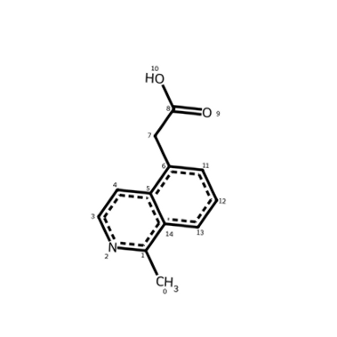 Cc1nccc2c(CC(=O)O)cccc12